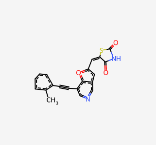 Cc1ccccc1C#Cc1cncc2cc(C=C3SC(=O)NC3=O)oc12